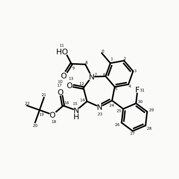 Cc1cccc2c1N(CC(=O)O)C(=O)C(NC(=O)OC(C)(C)C)N=C2c1ccccc1F